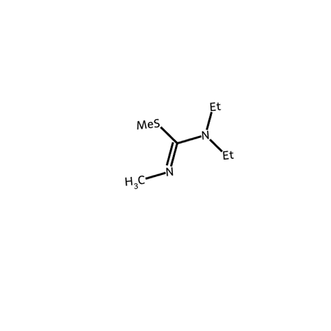 CCN(CC)/C(=N/C)SC